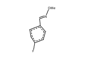 CO/N=C/c1[c]cc(F)cc1